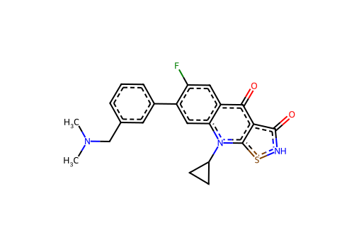 CN(C)Cc1cccc(-c2cc3c(cc2F)c(=O)c2c(=O)[nH]sc2n3C2CC2)c1